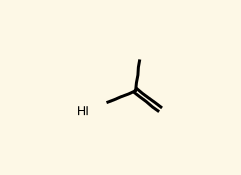 C=C(C)C.I